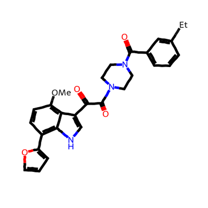 CCc1cccc(C(=O)N2CCN(C(=O)C(=O)c3c[nH]c4c(-c5ccco5)ccc(OC)c34)CC2)c1